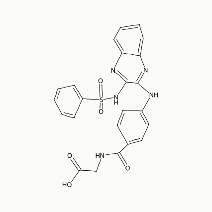 O=C(O)CNC(=O)c1ccc(Nc2nc3ccccc3nc2NS(=O)(=O)c2ccccc2)cc1